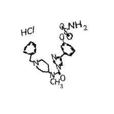 CN(C(=O)n1cnc(-c2cccc(OS(N)(=O)=O)c2)c1)C1CCN(Cc2ccccc2)CC1.Cl